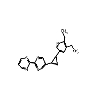 CCc1cc(C2CC2c2cnc(-c3ncccn3)nc2)cnc1CC